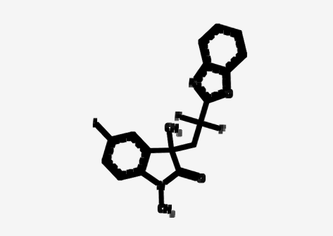 CN1C(=O)C(C)(CC(F)(F)c2nc3ccccc3o2)c2cc(I)ccc21